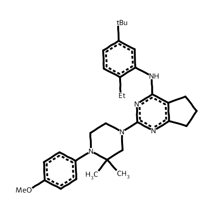 CCc1ccc(C(C)(C)C)cc1Nc1nc(N2CCN(c3ccc(OC)cc3)C(C)(C)C2)nc2c1CCC2